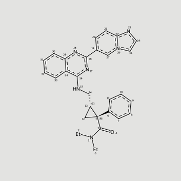 CCN(CC)C(=O)[C@]1(c2ccccc2)C[C@@H]1CNc1nc(-c2ccc3nccn3c2)nc2ccccc12